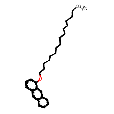 CCOC(=O)CCCCCCCCCCCCCCCOc1cccc2cc3ccccc3cc12